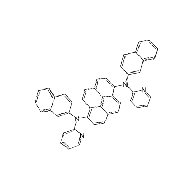 c1ccc(N(c2ccc3ccccc3c2)c2ccc3ccc4c(N(c5ccc6ccccc6c5)c5ccccn5)ccc5ccc2c3c54)nc1